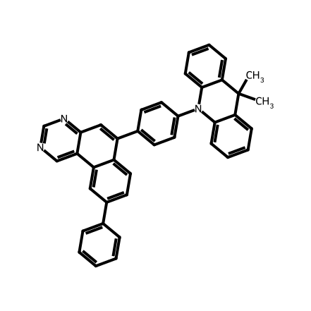 CC1(C)c2ccccc2N(c2ccc(-c3cc4ncncc4c4cc(-c5ccccc5)ccc34)cc2)c2ccccc21